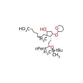 CCCCCC(CC[C@H]1C(OC2CCCCO2)C[C@H](O)[C@]1(C)C/C=C\CCCC(=O)O)O[Si](C)(C)C(C)(C)C